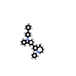 C=C1/C=C\C=C/N(c2ccccc2)c2ccc(C3=Cc4c(n(-c5ccc(-c6ccccc6)cc5)c5ccccc45)CC3)cc21